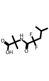 CC(C)CC(F)(F)C(=O)NC(C)(C)C(=O)O